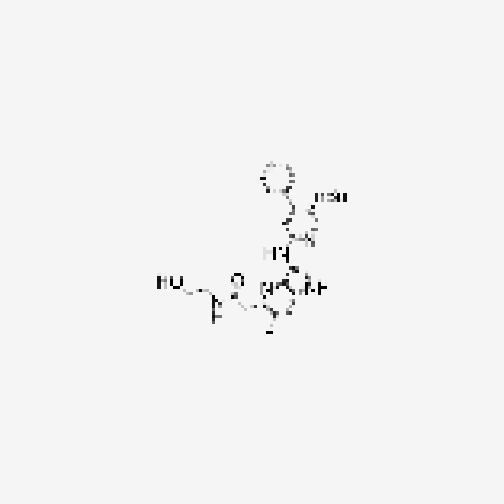 CCCCc1cnc(Nc2c[nH]c3cc(F)c(CC(=O)NCCO)nc23)cc1-c1ccccc1